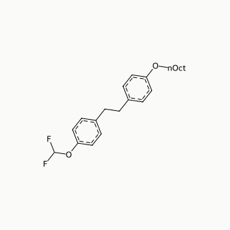 CCCCCCCCOc1ccc(CCc2ccc(OC(F)F)cc2)cc1